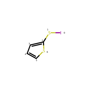 ISc1cccs1